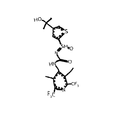 Cc1c(C(F)(F)F)nc(C(F)(F)F)c(C)c1NC(=O)/N=[SH](=O)/c1cc(C(C)(C)O)cs1